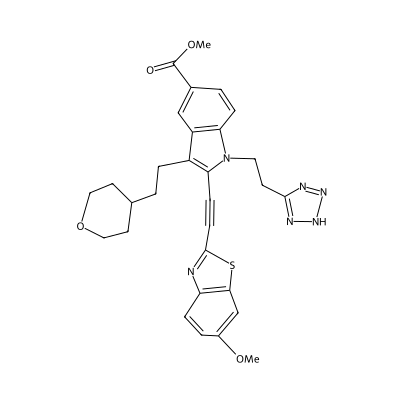 COC(=O)c1ccc2c(c1)c(CCC1CCOCC1)c(C#Cc1nc3ccc(OC)cc3s1)n2CCc1nn[nH]n1